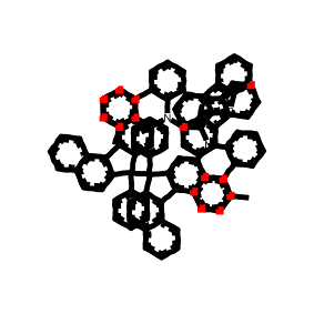 Cc1ccccc1-c1ccccc1N(c1cc2c(c3ccccc13)-c1c(ccc3ccccc13)C2(c1ccccc1)C1(c2ccccc2)c2ccc3ccccc3c2-c2c1cc(N(c1ccccc1-c1cccc(C)c1C)c1cccc3c1oc1ccccc13)c1ccccc21)c1cccc2c1oc1ccccc12